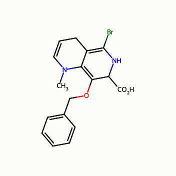 CN1C=CCC2=C(Br)NC(C(=O)O)C(OCc3ccccc3)=C21